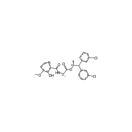 COc1ccnc(C(=O)N[C@@H](C)C(=O)O[C@@H](C)C(c2cccc(Cl)c2)c2cccc(Cl)c2)c1O